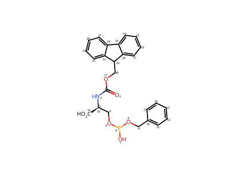 O=C(N[C@@H](COP(O)OCc1ccccc1)C(=O)O)OCC1c2ccccc2-c2ccccc21